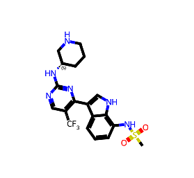 CS(=O)(=O)Nc1cccc2c(-c3nc(N[C@H]4CCCNC4)ncc3C(F)(F)F)c[nH]c12